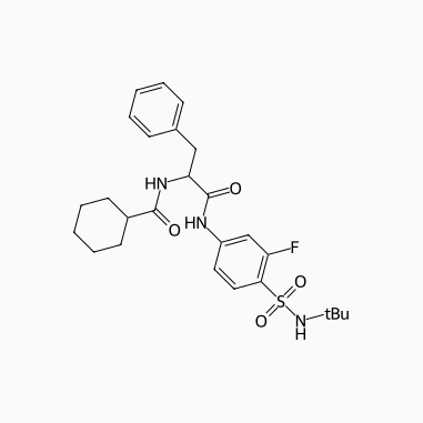 CC(C)(C)NS(=O)(=O)c1ccc(NC(=O)C(Cc2ccccc2)NC(=O)C2CCCCC2)cc1F